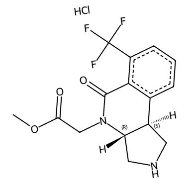 COC(=O)CN1C(=O)c2c(cccc2C(F)(F)F)[C@H]2CNC[C@@H]21.Cl